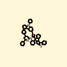 c1ccc(-c2cc(-c3ccccc3)nc(N3c4ccccc4C4(c5ccccc5-c5c4ccc4sc6ccccc6c54)c4ccc(-c5ccc6c(c5)c5ccccc5n6-c5ccccc5)cc43)c2)cc1